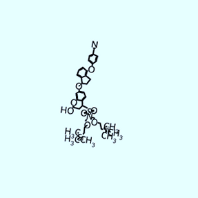 C[Si](C)(C)CCOCN(COCC[Si](C)(C)C)S(=O)(=O)CC(CC(=O)O)c1ccc(O[C@@H]2CCc3c(Oc4ccc(C#N)cc4)cccc32)cc1